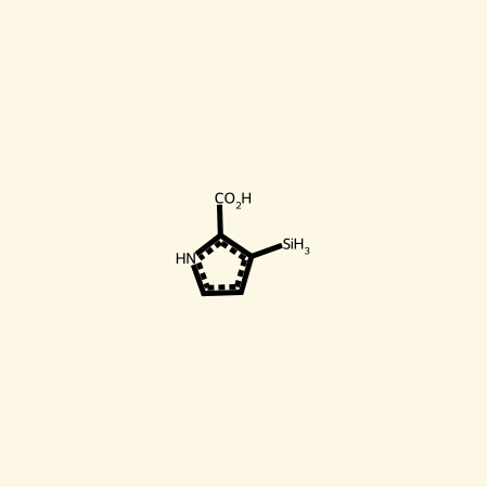 O=C(O)c1[nH]ccc1[SiH3]